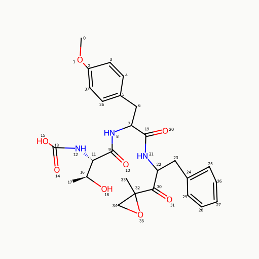 COc1ccc(CC(NC(=O)[C@@H](NC(=O)O)[C@H](C)O)C(=O)NC(Cc2ccccc2)C(=O)C2(C)CO2)cc1